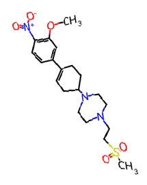 COc1cc(C2=CCC(N3CCN(CCS(C)(=O)=O)CC3)CC2)ccc1[N+](=O)[O-]